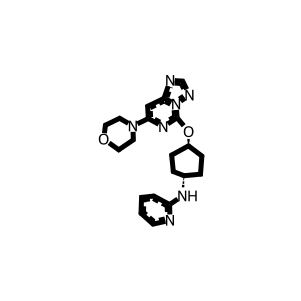 c1ccc(N[C@H]2CC[C@@H](Oc3nc(N4CCOCC4)cc4ncnn34)CC2)nc1